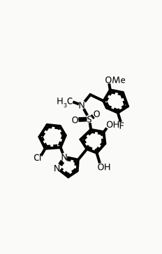 COc1ccc(F)cc1CN(C)S(=O)(=O)c1cc(-c2ccnn2-c2ccccc2Cl)c(O)cc1O